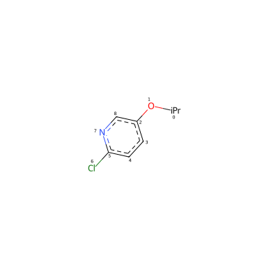 CC(C)Oc1ccc(Cl)nc1